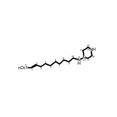 CCCCCCCCC=CCCCCCCCCNN1CCNCC1